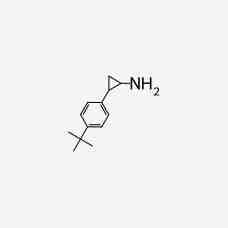 CC(C)(C)c1ccc(C2CC2N)cc1